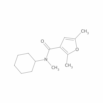 Cc1cc(C(=O)N(C)C2CCCCC2)c(C)o1